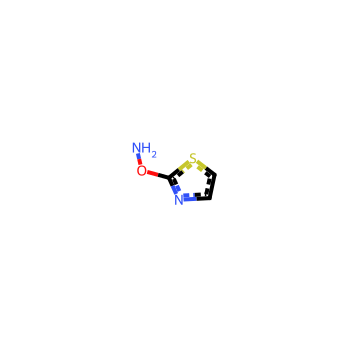 NOc1nccs1